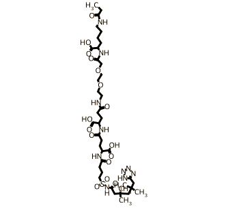 CCC(=O)NCCCCC(NC(=O)COCCOCCNC(=O)CCC(NC(=O)CCC(NC(=O)CCCS(=O)(=O)NC(=O)CC(C)(C)CC(C)(C)Cc1nnn[nH]1)C(=O)O)C(=O)O)C(=O)O